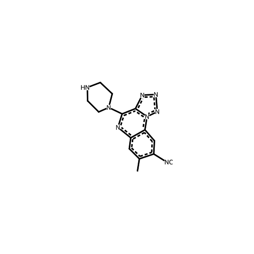 [C-]#[N+]c1cc2c(cc1C)nc(N1CCNCC1)c1nnnn12